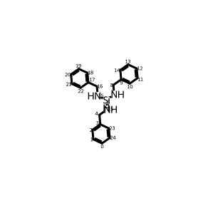 c1ccc(CN[SiH](NCc2ccccc2)NCc2ccccc2)cc1